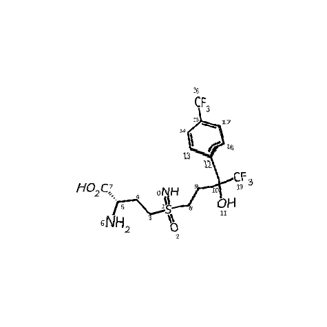 N=S(=O)(CC[C@H](N)C(=O)O)CCC(O)(c1ccc(C(F)(F)F)cc1)C(F)(F)F